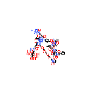 CC[C@H](C)[C@@H]([C@@H](CC(=O)N1CCC[C@H]1[C@H](OC)[C@@H](C)C(=O)N[C@H](C)[C@@H](O)c1ccccc1)OC)N(C)C(=O)[C@@H](NC(=O)[C@H](C(C)C)N(C)C(=O)OCc1ccc(NC(=O)[C@H](CCCNC(N)=O)NC(=O)[C@@H](NC(=O)[C@@H](CCCC(=O)NC[C@H](O)[C@@H](O)[C@H](O)[C@H](O)CO)NC(=O)CCOCCOCCOCCOCCN2C(=O)C=CC2=O)C(C)C)cc1)C(C)C